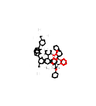 CC(C)(C)c1ccc2c(c1)c1ccccc1n2-c1cnc(-n2c3ccccc3c3cc(C(C)(C)C)ccc32)c(-n2c3ccccc3c3cc(C(C)(C)C)ccc32)c1-c1cccc(-c2nc(-c3ccccc3)nc(-c3ccccc3)n2)c1-c1nc(-c2ccccc2)nc(-c2ccccc2)n1